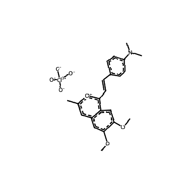 COc1cc2cc(C)[o+]c(C=Cc3ccc(N(C)C)cc3)c2cc1OC.[O-][Cl+3]([O-])([O-])[O-]